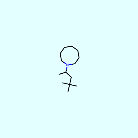 CC(CC(C)(C)C)N1CCCCCCC1